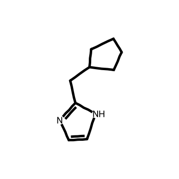 c1c[nH]c(CC2CCCC2)n1